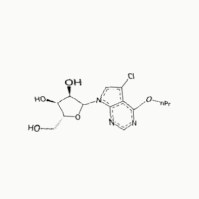 CCCOc1ncnc2c1c(Cl)cn2C1O[C@H](CO)[C@@H](O)[C@H]1O